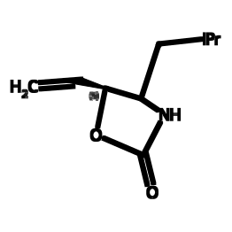 C=C[C@@H]1OC(=O)NC1CC(C)C